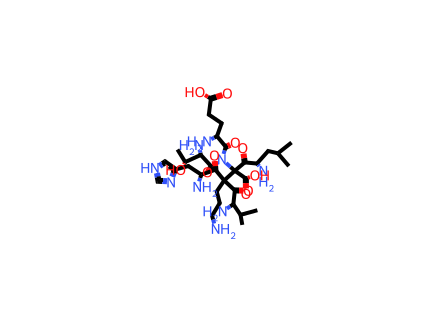 CC(C)CC(N)C(=O)C(C(=O)O)(N(C(=O)C(N)CCC(=O)O)C(=O)C(N)C(C)O)C(CCCN)(C(=O)C(N)Cc1c[nH]cn1)C(=O)C(N)C(C)C